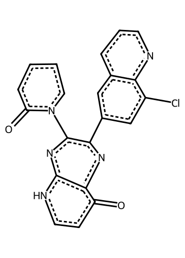 O=c1cc[nH]c2nc(-n3ccccc3=O)c(-c3cc(Cl)c4ncccc4c3)nc12